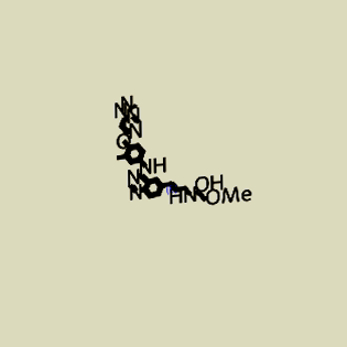 COCC(O)NC/C=C/c1ccc2ncnc(Nc3ccc(Oc4cc5nncn5cn4)c(C)c3)c2c1